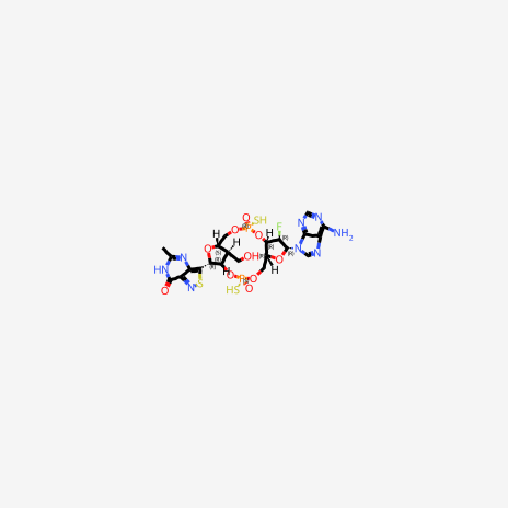 Cc1nc2c([C@@H]3O[C@@H]4CO[P@@](=O)(S)O[C@H]5[C@@H](F)[C@H](n6cnc7c(N)ncnc76)O[C@@H]5CO[P@](=O)(S)O[C@@H]3[C@@H]4CO)snc2c(=O)[nH]1